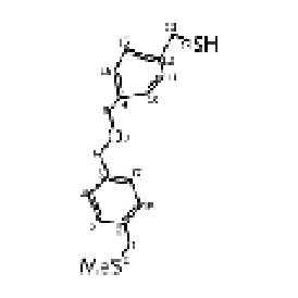 CSCc1ccc(COCc2ccc(CS)cc2)cc1